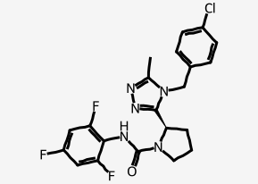 Cc1nnc([C@H]2CCCN2C(=O)Nc2c(F)cc(F)cc2F)n1Cc1ccc(Cl)cc1